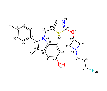 Cc1ccc(-c2c(C)c3cc(O)ccc3n2Cc2cnc(OC3CN(CCCF)C3)s2)cc1